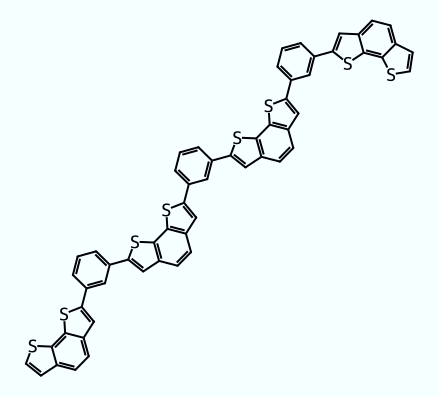 c1cc(-c2cc3ccc4ccsc4c3s2)cc(-c2cc3ccc4cc(-c5cccc(-c6cc7ccc8cc(-c9cccc(-c%10cc%11ccc%12ccsc%12c%11s%10)c9)sc8c7s6)c5)sc4c3s2)c1